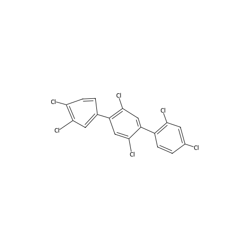 Clc1ccc(-c2cc(Cl)c(-c3ccc(Cl)c(Cl)c3)cc2Cl)c(Cl)c1